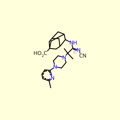 Cc1cccc(N2CCN(C(C)(C)/C(=N\C#N)NC3C4CC5CC3CC(C(=O)O)(C5)C4)CC2)n1